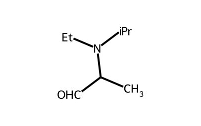 [CH2]C(C)N(CC)C(C)C=O